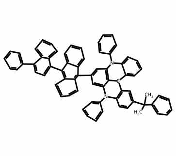 CC(C)(c1ccccc1)c1ccc2c(c1)B1c3ccccc3N(c3ccccc3)c3cc(-c4c5ccccc5c(-c5ccc(-c6ccccc6)c6ccccc56)c5ccccc45)cc(c31)N2c1ccccc1